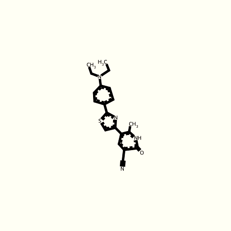 CCN(CC)c1ccc(-c2nc(-c3cc(C#N)c(=O)[nH]c3C)cs2)cc1